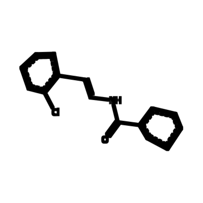 O=C(N/C=C/c1ccccc1Cl)c1ccccc1